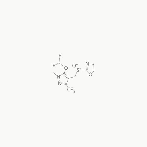 Cn1nc(C(F)(F)F)c(C[S+]([O-])c2ncco2)c1OC(F)F